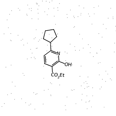 CCOC(=O)c1ccc(C2CCCC2)nc1O